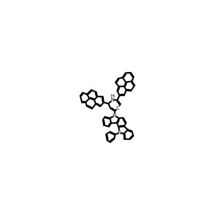 C1=C(c2cc3ccc4cccc5ccc(c2)c3c45)NC(c2cc3ccc4cccc5ccc(c2)c3c45)C=C(n2c3ccccc3c3c2ccc2c4ccccc4n(-c4ccccc4)c23)C1